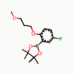 COCCCOc1ccc(F)cc1B1OC(C)(C)C(C)(C)O1